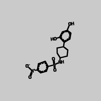 O=[N+]([O-])c1ccc(S(=O)(=O)NC2CCC(c3ccc(O)cc3O)CC2)cc1